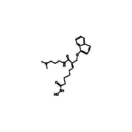 CN(C)CCCNC(=O)C(=CCCCCC(=O)NO)COc1cccc2ccccc12